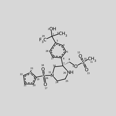 CC(O)(c1ccc([C@]2(COS(C)(=O)=O)CN(S(=O)(=O)c3cccs3)CCN2)cc1)C(F)(F)F